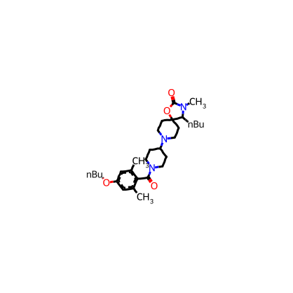 CCCCOc1cc(C)c(C(=O)N2CCC(N3CCC4(CC3)OC(=O)N(C)C4CCCC)CC2)c(C)c1